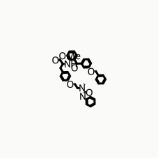 COC(=O)C(Cc1ccc(OCCN(C)c2nc3ccccc3o2)cc1)Nc1ccccc1C(=O)c1cccc(OCc2ccccc2)c1